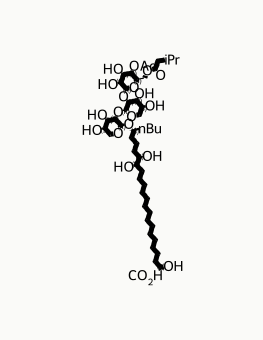 CCCC[C@@H](CCC[C@H](O)[C@H](O)CCCCCCCCCCCCCC[C@H](O)C(=O)O)O[C@H]1OC[C@H](O)[C@@H](O)[C@@H]1O[C@H]1OC[C@H](O)[C@@H](O)[C@@H]1O[C@H]1O[C@@H](COC(=O)CC(C)C)[C@H](OC(C)=O)[C@@H](O)[C@@H]1O